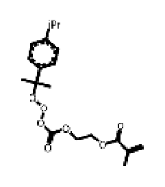 C=C(C)C(=O)OCCOC(=O)OOOC(C)(C)c1ccc(C(C)C)cc1